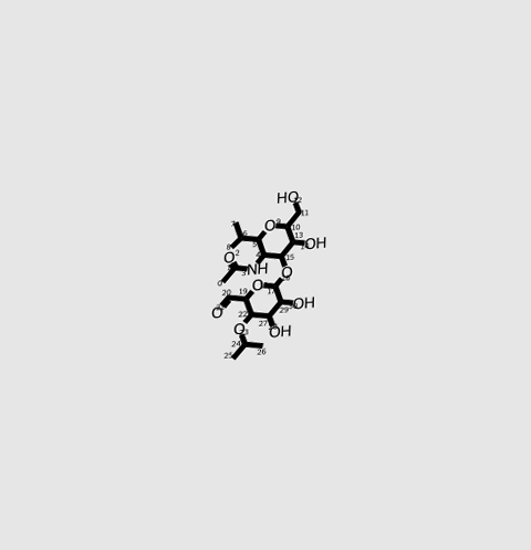 CC(=O)NC1C(C(C)C)OC(CO)C(O)C1OC1OC(C=O)C(OC(C)C)C(O)C1O